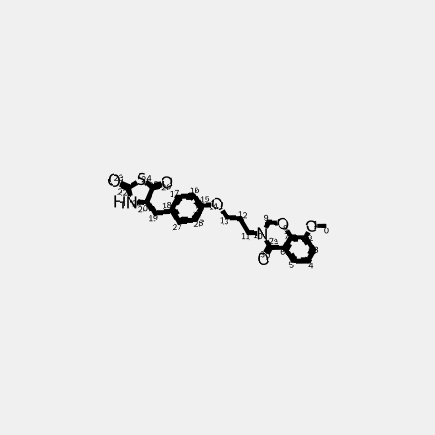 COc1cccc2c1OCN(CCCOc1ccc(CC3NC(=O)SC3=O)cc1)C2=O